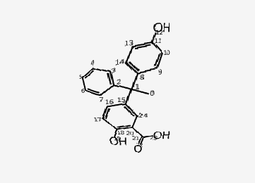 CC(c1ccccc1)(c1ccc(O)cc1)c1ccc(O)c(C(=O)O)c1